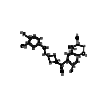 O=C1COc2cc(F)c(C(=O)N3CC(COc4ccc(F)c(Cl)c4)C3)cc2N1